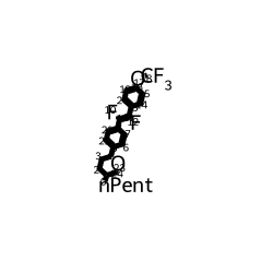 CCCCCC1CCC(c2ccc(C(F)=C(F)c3ccc(OC(F)(F)F)cc3)cc2)OC1